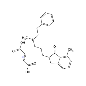 Cc1cccc2c1C(=O)C(CCCN(C)CCc1ccccc1)C2.O=C(O)/C=C/C(=O)O